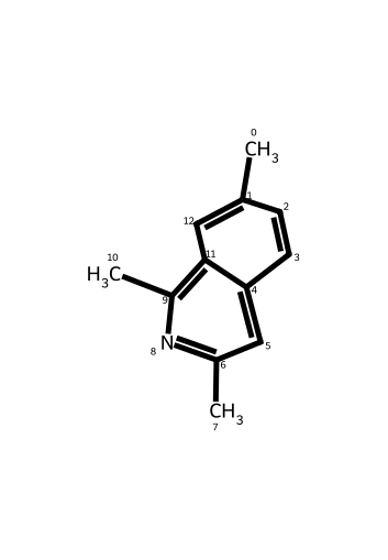 Cc1ccc2cc(C)nc(C)c2c1